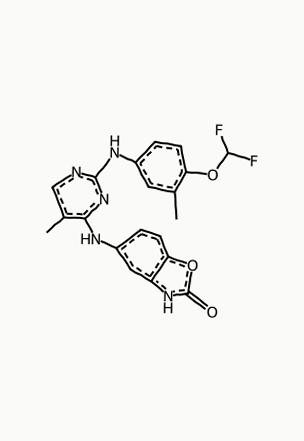 Cc1cc(Nc2ncc(C)c(Nc3ccc4oc(=O)[nH]c4c3)n2)ccc1OC(F)F